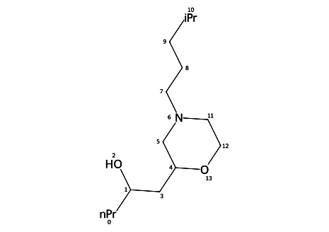 CCCC(O)CC1CN(CCCC(C)C)CCO1